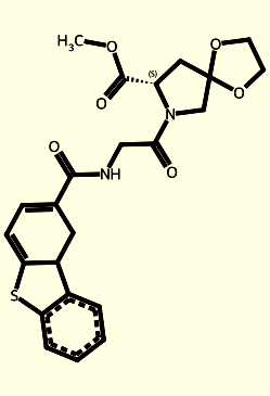 COC(=O)[C@@H]1CC2(CN1C(=O)CNC(=O)C1=CC=C3Sc4ccccc4C3C1)OCCO2